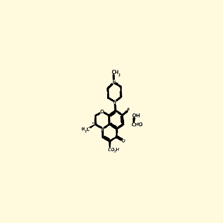 C[C@H]1COc2c(N3CCN(C)CC3)c(F)cc3c(=O)c(C(=O)O)cn1c23.O=CO